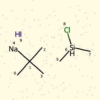 C[C](C)(C)[Na].C[SiH](C)Cl.I